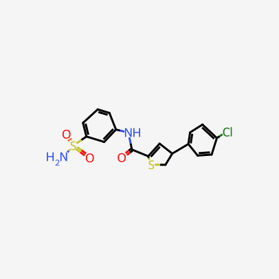 NS(=O)(=O)c1cccc(NC(=O)C2=CC(c3ccc(Cl)cc3)CS2)c1